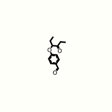 CCC(=O)C(CC)Oc1ccc(C=O)cc1